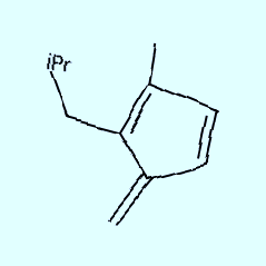 C=C1C=CC(C)=C1CC(C)C